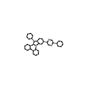 c1ccc(-c2cnc(-c3ccc4c(-c5ccccc5)c5c6ccccc6c6ccccc6n5c4c3)cn2)cc1